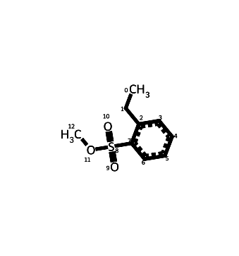 CCc1ccccc1S(=O)(=O)OC